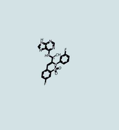 C[C@H](Nc1ncnc2[nH]cnc12)C1=Cc2ccc(F)cc2S(=O)(=O)N1c1cccc(F)c1